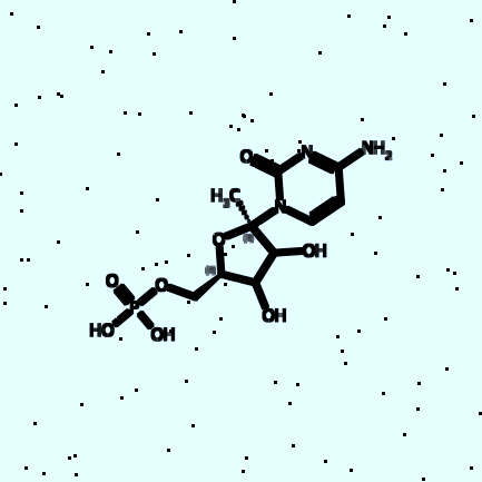 C[C@@]1(n2ccc(N)nc2=O)O[C@H](COP(=O)(O)O)C(O)C1O